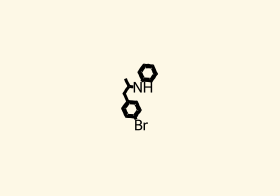 CC(Cc1ccc(Br)cc1)Nc1ccccc1